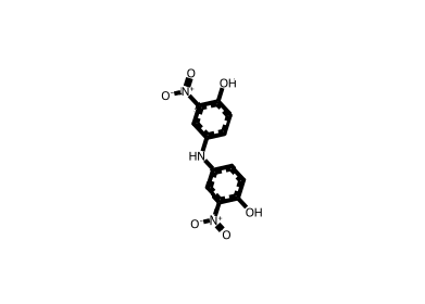 O=[N+]([O-])c1cc(Nc2ccc(O)c([N+](=O)[O-])c2)ccc1O